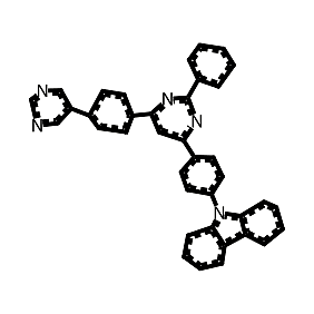 c1ccc(-c2nc(-c3ccc(-c4cncnc4)cc3)cc(-c3ccc(-n4c5ccccc5c5ccccc54)cc3)n2)cc1